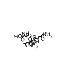 CC(C)C[C@H](N)C(=O)O.CC[C@H](C)[C@H](N)C(=O)O.NCC(=O)CCC(=O)O